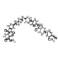 Cc1cc(N2CCC(C(=O)Nc3ccc(N4CCC(CN5CC6(C5)CN(c5ccc7c(c5)C(=O)N(C5CCC(=O)N(N)C5=O)C7=O)C6)CC4)cn3)CC2)ccc1C#N